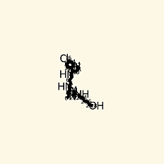 Cc1cc(NCCCNc2ccnc3cc(Cl)ccc23)nc(NCCCCCO)n1